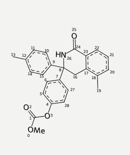 COC(=O)Oc1ccc(C2(c3ccc(C)cc3)Cc3c(C)cccc3C(=O)N2)cc1